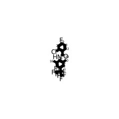 Cc1cc(C(F)(C(F)(F)F)C(F)(F)F)cc(C)c1NC(=O)c1ccc(F)cc1Cl